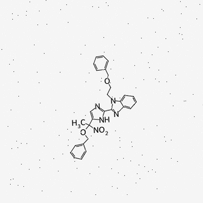 CC(OCc1ccccc1)(c1cnc(-c2nc3ccccc3n2CCOCc2ccccc2)[nH]1)[N+](=O)[O-]